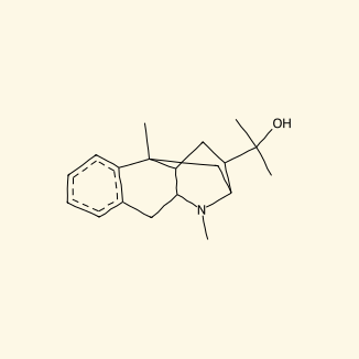 CN1C2CC3(C)c4ccccc4CC1C3CC2C(C)(C)O